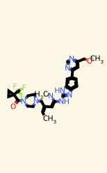 C=N/C(=C\C(=C/C)CN1CCN(C(=O)C2(C(F)(F)F)CC2)CC1)Nc1nc2ccc(-c3cc(COC)ncn3)cc2[nH]1